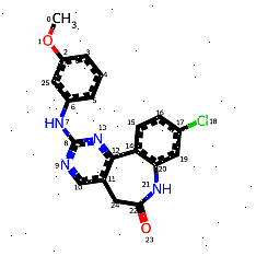 COc1cccc(Nc2ncc3c(n2)-c2ccc(Cl)cc2NC(=O)C3)c1